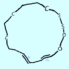 C1=C\OOSSCCCCCCC/C=C/1